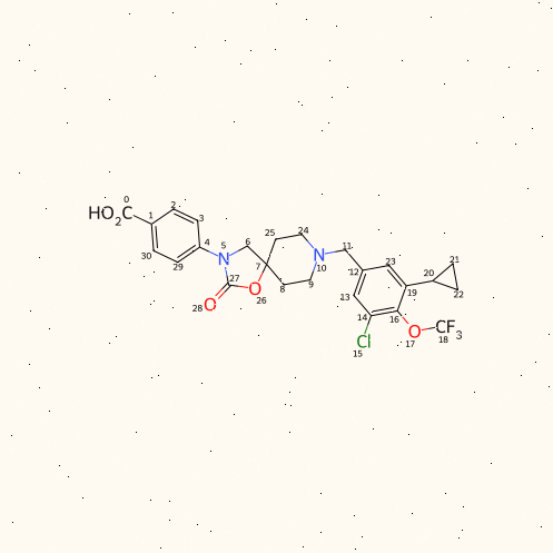 O=C(O)c1ccc(N2CC3(CCN(Cc4cc(Cl)c(OC(F)(F)F)c(C5CC5)c4)CC3)OC2=O)cc1